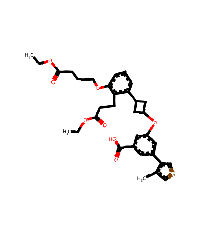 CCOC(=O)CCCOc1cccc(C2CC(Oc3cc(C(=O)O)cc(-c4cscc4C)c3)C2)c1CCC(=O)OCC